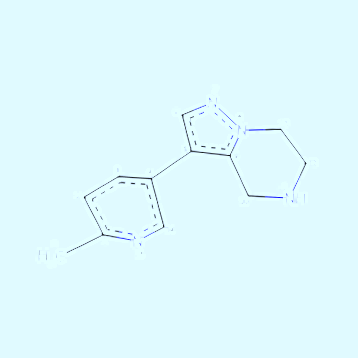 Cc1ccc(-c2cnn3c2CNCC3)cn1